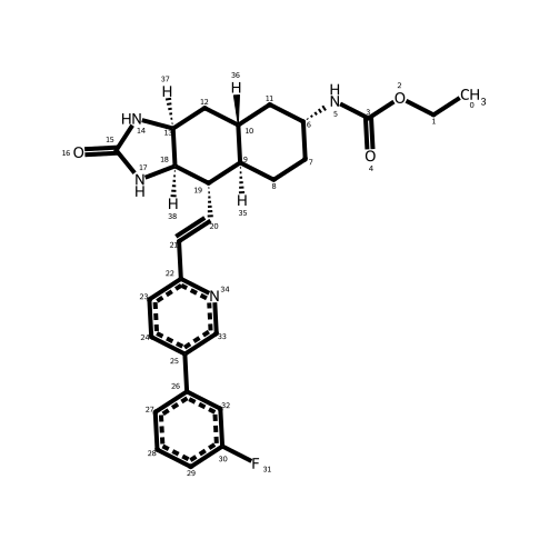 CCOC(=O)N[C@@H]1CC[C@@H]2[C@@H](C1)C[C@@H]1NC(=O)N[C@@H]1[C@H]2/C=C/c1ccc(-c2cccc(F)c2)cn1